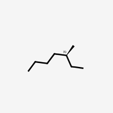 CCCC[C@@H](C)CC